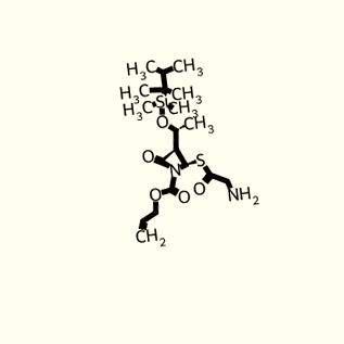 C=CCOC(=O)N1C(=O)[C@@H]([C@@H](C)O[Si](C)(C)C(C)(C)C(C)C)[C@H]1SC(=O)CN